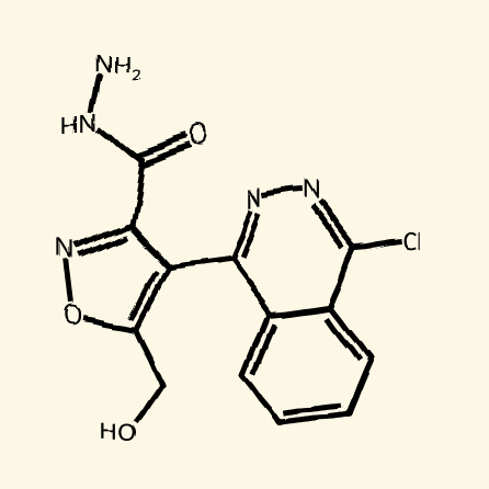 NNC(=O)c1noc(CO)c1-c1nnc(Cl)c2ccccc12